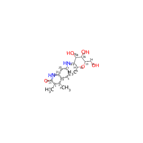 Cc1c(C)c2ccc(NC3C(C)OC(CO)C(O)C3O)cc2[nH]c1=O